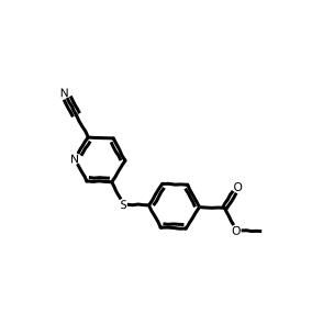 COC(=O)c1ccc(Sc2ccc(C#N)nc2)cc1